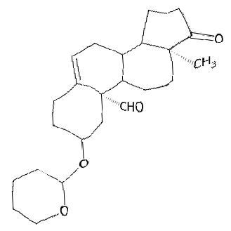 C[C@]12CCC3C(CC=C4CCC(OC5CCCCO5)C[C@@]43C=O)C1CCC2=O